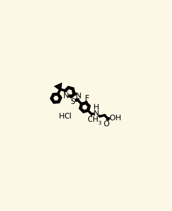 C[C@H](NCCC(=O)O)c1ccc(-c2nc3ccc(C4(c5ccccc5)CC4)nc3s2)c(F)c1.Cl